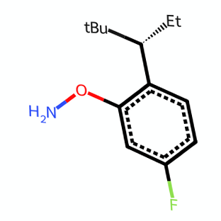 CC[C@H](c1ccc(F)cc1ON)C(C)(C)C